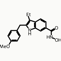 CCc1c(Cc2ccc(OC)cc2)[nH]c2cc(C(=O)NO)ccc12